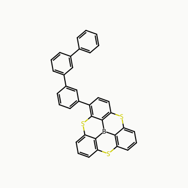 c1ccc(-c2cccc(-c3cccc(-c4ccc5c6c4Sc4cccc7c4B6c4c(cccc4S5)S7)c3)c2)cc1